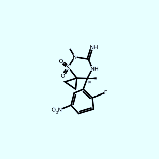 CN1C(=N)N[C@](C)(c2cc([N+](=O)[O-])ccc2F)C2(CC2)S1(=O)=O